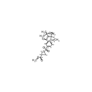 CCC(C)(C)N(C(=O)c1cccc(S(=O)(=O)C2CC(C(=O)OC)C2)c1)C(C)(C)C